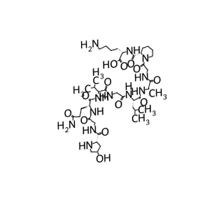 CC(C)C[C@H](NC(=O)CNC(=O)[C@@H](NC(=O)[C@H](CCC(N)=O)NC(=O)CNC(=O)[C@@H]1C[C@@H](O)CN1)C(C)C)C(=O)N[C@@H](C)C(=O)NCC(=O)N1CCCC[C@H]1C(=O)N[C@@H](CCCCN)C(=O)O